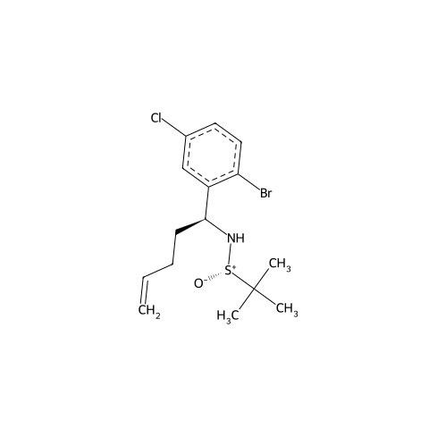 C=CCC[C@H](N[S@@+]([O-])C(C)(C)C)c1cc(Cl)ccc1Br